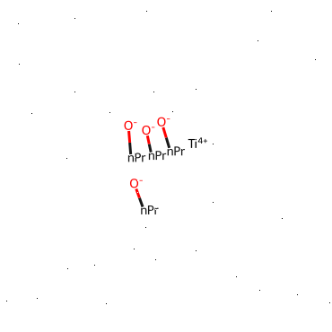 CCC[O-].CCC[O-].CCC[O-].CCC[O-].[Ti+4]